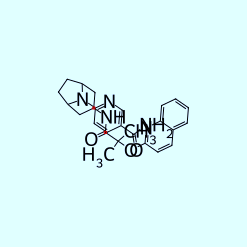 CC(C)(Oc1ccc2ccccc2n1)C(=O)NC1CC2CCC(C1)N2c1ccc(C(N)=O)cn1